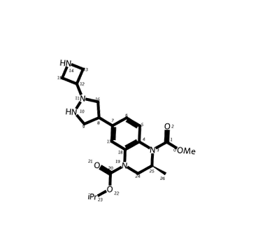 COC(=O)N1c2ccc(C3CNN(C4CNC4)C3)cc2N(C(=O)OC(C)C)C[C@@H]1C